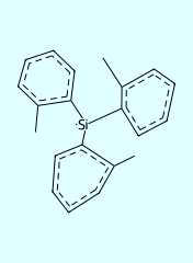 Cc1ccccc1[Si](c1ccccc1C)c1ccccc1C